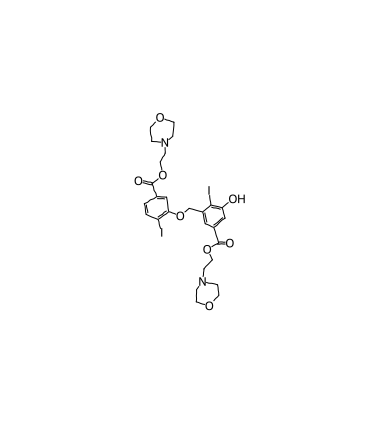 O=C(OCCN1CCOCC1)c1cc(O)c(I)c(COc2cc(C(=O)OCCN3CCOCC3)ccc2I)c1